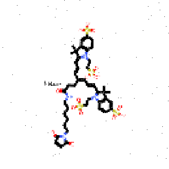 CC1(C)C(=CC=CC(=CC=CC2=[N+](CCS(=O)(=O)[O-])c3ccc(S(=O)(=O)[O-])cc3C2(C)C)CCC(=O)NCCCCCCN2C(=O)C=CC2=O)N(CCS(=O)(=O)[O-])c2ccc(S(=O)(=O)[O-])cc21.[Na+].[Na+].[Na+]